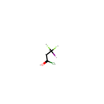 O=C(Cl)CC(F)(F)I